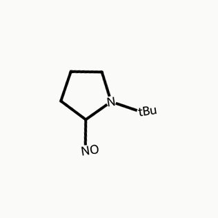 CC(C)(C)N1CCCC1N=O